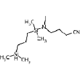 C[SiH](C)CCC[Si](C)(C)N(I)CCCC#N